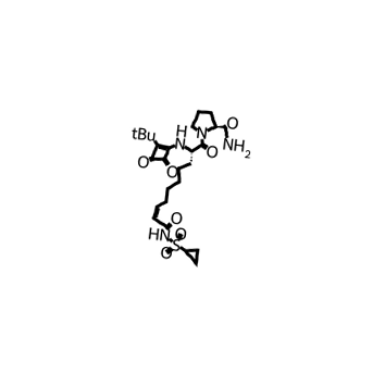 CC(C)(C)c1c(N[C@@H](CCCCC/C=C\C(=O)NS(=O)(=O)C2CC2)C(=O)N2CCC[C@H]2C(N)=O)c(=O)c1=O